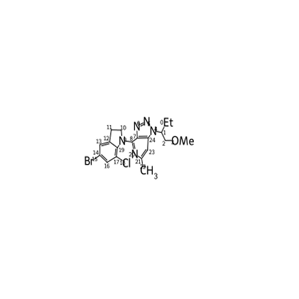 CCC(COC)n1nnc2c(N3CCc4cc(Br)cc(Cl)c43)nc(C)cc21